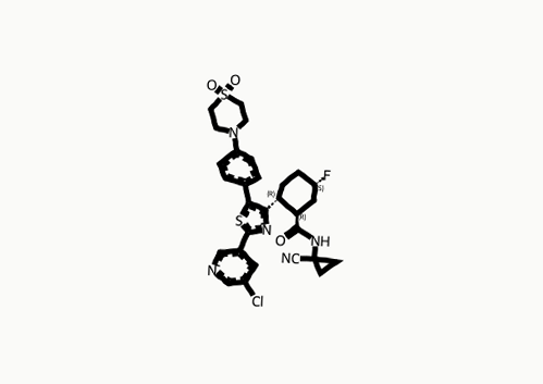 N#CC1(NC(=O)[C@@H]2C[C@@H](F)CC[C@H]2c2nc(-c3cncc(Cl)c3)sc2-c2ccc(N3CCS(=O)(=O)CC3)cc2)CC1